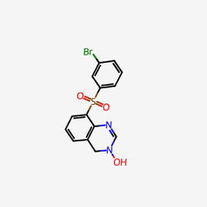 O=S(=O)(c1cccc(Br)c1)c1cccc2c1N=CN(O)C2